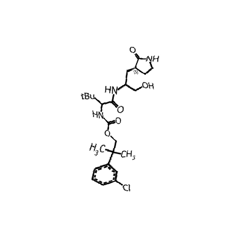 CC(C)(COC(=O)NC(C(=O)NC(CO)C[C@@H]1CCNC1=O)C(C)(C)C)c1cccc(Cl)c1